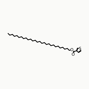 CCCCCCCCCCCCCCCCCCCCCCCCCCCCOC(=O)c1ccsc1